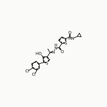 C/C(=N\NC(=O)c1ccc(C(=O)NC2CC2)s1)c1csc(-c2ccc(Cl)c(Cl)c2)c1O